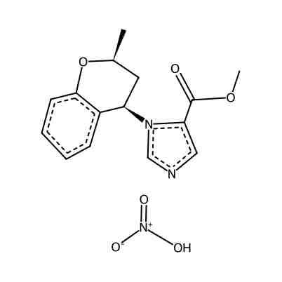 COC(=O)c1cncn1[C@@H]1C[C@H](C)Oc2ccccc21.O=[N+]([O-])O